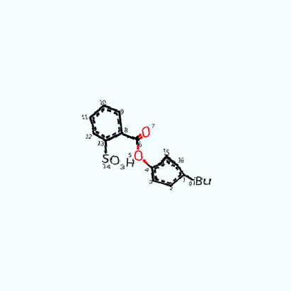 CCC(C)c1ccc(OC(=O)c2ccccc2S(=O)(=O)O)cc1